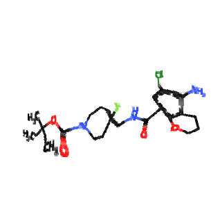 CC(C)(C)OC(=O)N1CCC(F)(CNC(=O)c2cc(Cl)c(N)c3c2OCCC3)CC1